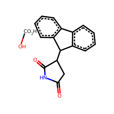 O=C(O)O.O=C1CC(C2c3ccccc3-c3ccccc32)C(=O)N1